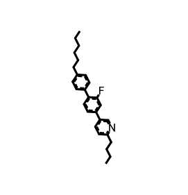 CCCCCCc1ccc(-c2ccc(-c3ccc(CCCC)nc3)cc2F)cc1